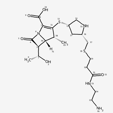 C[C@@H](O)[C@H]1C(=O)N2C(C(=O)O)=C(S[C@@H]3CN[C@H](CSCCC(=O)NCCN)C3)[C@H](C)[C@H]12